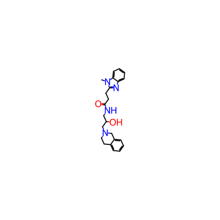 Cn1c(CCC(=O)NCC(O)CN2CCc3ccccc3C2)nc2ccccc21